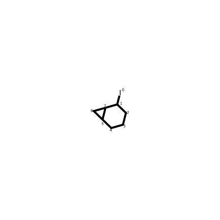 IC1CCCC2CC12